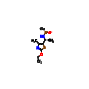 Cc1nc(OCC(F)(F)F)sc1[C@@H](C)N[S@@+]([O-])C(C)(C)C